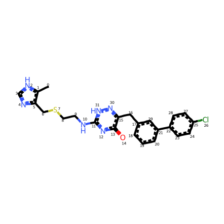 Cc1[nH]cnc1CSCCNc1nc(=O)c(Cc2cccc(-c3ccc(Cl)cc3)c2)n[nH]1